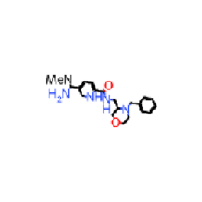 CNC(N)C1=CC=C(C(=O)NCC2COCCN2Cc2ccccc2)NC1